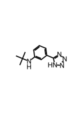 CC(C)(C)Nc1cccc(-c2nnn[nH]2)c1